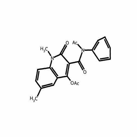 CC(=O)Oc1c(C(=O)N(C(C)=O)c2ccccc2)c(=O)n(C)c2ccc(C)cc12